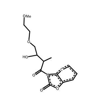 COCCOCC(O)C(C)C(=O)n1c(=O)oc2ccccc21